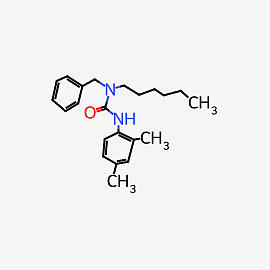 CCCCCCN(Cc1ccccc1)C(=O)Nc1ccc(C)cc1C